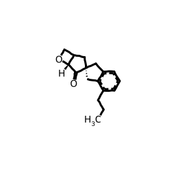 CCCc1cccc2c1C[C@@]1(C2)CC2CO[C@H]2C1=O